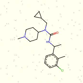 Cc1c(Cl)cccc1C(C)NC(=O)N(CC1CC1)C1CCN(C)CC1